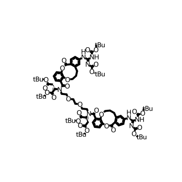 CC(C)(C)OC(=O)C[C@@H](C(=O)OC(C)(C)C)N(CCOCCOCCN(C(=O)c1cccc2c1OCCCc1cc(NC(=NC(=O)OC(C)(C)C)NC(=O)OC(C)(C)C)ccc1C(=O)O2)[C@@H](CC(=O)OC(C)(C)C)C(=O)OC(C)(C)C)C(=O)c1cccc2c1OCCCc1cc(NC(=NC(=O)OC(C)(C)C)NC(=O)OC(C)(C)C)ccc1C(=O)O2